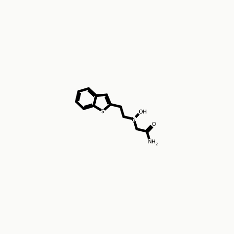 NC(=O)CN(O)CCc1cc2ccccc2s1